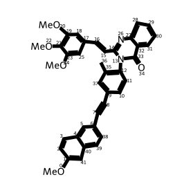 COc1ccc2cc(C#Cc3ccc(-n4c(/C=C/c5cc(OC)c(OC)c(OC)c5)nc5ccccc5c4=O)c(C)c3)ccc2c1